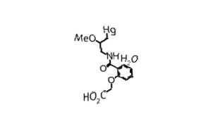 COC([CH2][Hg])CNC(=O)c1ccccc1OCC(=O)O.O